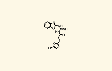 N=C(NC(=O)CCc1ccc(Cl)o1)Nc1nc2ccccc2o1